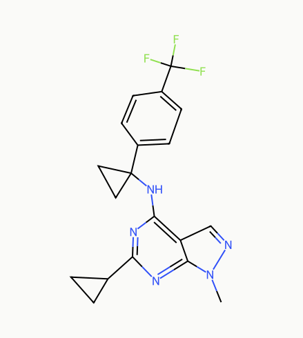 Cn1ncc2c(NC3(c4ccc(C(F)(F)F)cc4)CC3)nc(C3CC3)nc21